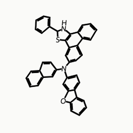 c1ccc(C2Nc3c(c4cc(N(c5ccc6ccccc6c5)c5ccc6c(c5)oc5ccccc56)ccc4c4ccccc34)S2)cc1